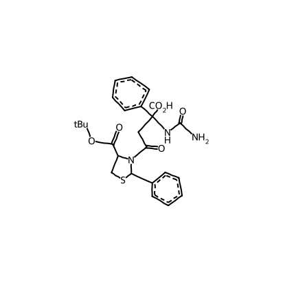 CC(C)(C)OC(=O)C1CSC(c2ccccc2)N1C(=O)CC(NC(N)=O)(C(=O)O)c1ccccc1